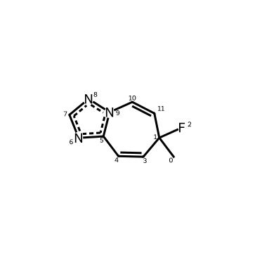 CC1(F)C=Cc2ncnn2C=C1